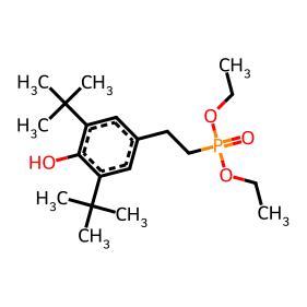 CCOP(=O)(CCc1cc(C(C)(C)C)c(O)c(C(C)(C)C)c1)OCC